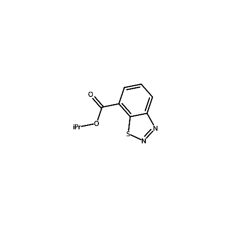 CC(C)OC(=O)c1cccc2nnsc12